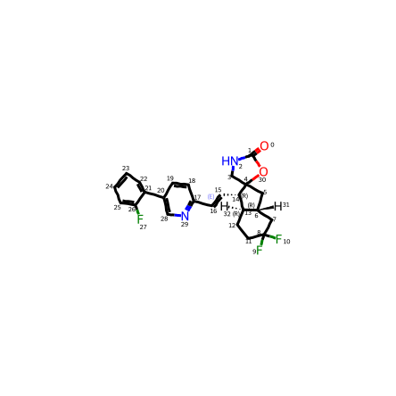 O=C1NCC2(C[C@@H]3CC(F)(F)CC[C@H]3[C@@H]2/C=C/c2ccc(-c3ccccc3F)cn2)O1